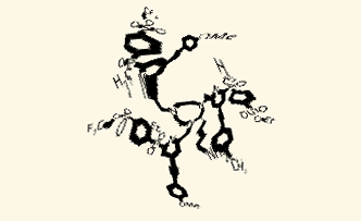 CCOP(=O)(c1ccc(S(=O)(=O)OCC(F)(F)F)cc1)c1cc(C#Cc2ccc(OC)cc2)cc(CN2CCN(Cc3cc(C#Cc4ccc(OC)cc4)cc(P(C)(=O)c4ccc(S(=O)(=O)OCC(F)(F)F)cc4)n3)CCN(Cc3cc(C#Cc4ccc(C)cc4)cc(P(C)(=O)c4ccc(S(=O)(=O)OCC)cc4)n3)C[C@@H]2CCCCN)n1